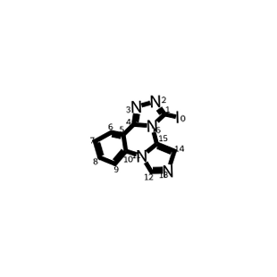 Ic1nnc2c3ccccc3n3cncc3n12